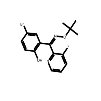 CC(C)(C)ON=C(c1cc(Br)ccc1O)c1ncccc1F